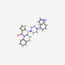 O=C(c1ccsc1)N1c2ccccc2CCC1CN1CCN(c2cccc3[nH]ccc23)CC1